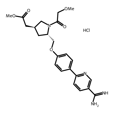 COCC(=O)N1C[C@H](CC(=O)OC)C[C@H]1COc1ccc(-c2ccc(C(=N)N)cn2)cc1.Cl